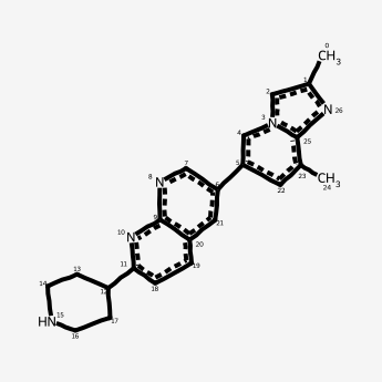 Cc1cn2cc(-c3cnc4nc(C5CCNCC5)ccc4c3)cc(C)c2n1